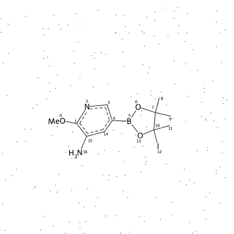 COc1ncc(B2OC(C)(C)C(C)(I)O2)cc1N